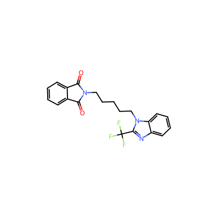 O=C1c2ccccc2C(=O)N1CCCCCn1c(C(F)(F)F)nc2ccccc21